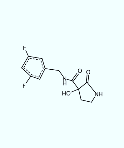 O=C1NCCC1(O)C(=O)NCc1cc(F)cc(F)c1